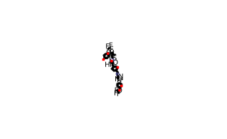 Cc1ccc(OCC(F)(F)F)c(N2C(=O)CS/C2=N\C(=O)Nc2ccc(/C=C/c3ncn(-c4ccc(OC(F)(F)F)cc4)n3)cc2)c1